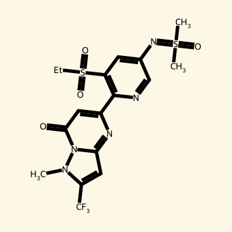 CCS(=O)(=O)c1cc(N=S(C)(C)=O)cnc1-c1cc(=O)n2c(cc(C(F)(F)F)n2C)n1